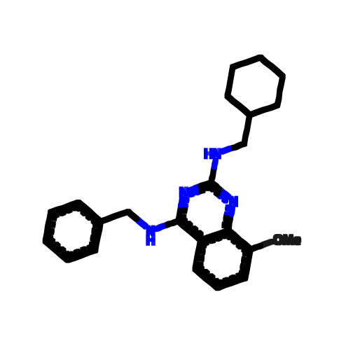 COc1cccc2c(NCc3ccccc3)nc(NCC3CCCCC3)nc12